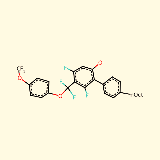 CCCCCCCCc1ccc(-c2c([O])cc(F)c(C(F)(F)Oc3ccc(OC(F)(F)F)cc3)c2F)cc1